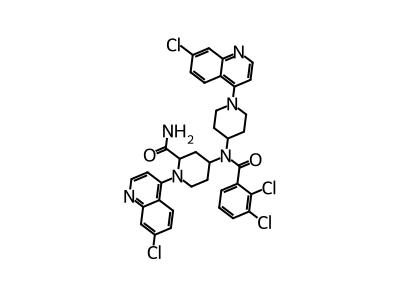 NC(=O)C1CC(N(C(=O)c2cccc(Cl)c2Cl)C2CCN(c3ccnc4cc(Cl)ccc34)CC2)CCN1c1ccnc2cc(Cl)ccc12